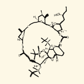 C=C1C[C@@H]2CCC(=O)C/C=C/[C@H](O[Si](C)(C)C(C)(C)C)[C@@H]3O[C@H]4CC[C@H](CC(=O)C[C@H]5[C@H](CC6O[C@@H](CCC1O2)C[C@@H](C)C6=C)OC(C[C@H](O)CC)[C@@H]5C)O[C@@H]4[C@H](O[Si](C)(C)C(C)(C)C)[C@@H]3O[Si](C)(C)C(C)(C)C